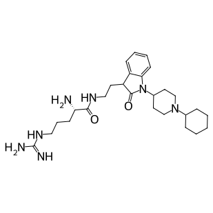 N=C(N)NCCC[C@H](N)C(=O)NCCC1C(=O)N(C2CCN(C3CCCCC3)CC2)c2ccccc21